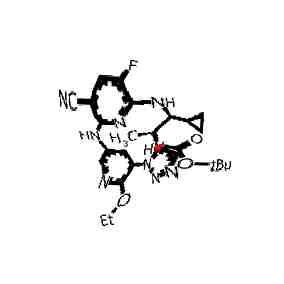 CCOc1ncc(Nc2nc(NC(C3CC3)[C@H](C)NC(=O)OC(C)(C)C)c(F)cc2C#N)cc1-n1ccnn1